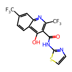 O=C(Nc1nccs1)c1c(C(F)(F)F)nc2cc(C(F)(F)F)ccc2c1O